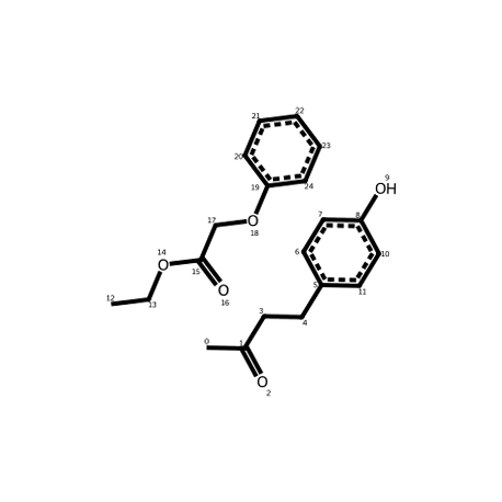 CC(=O)CCc1ccc(O)cc1.CCOC(=O)COc1ccccc1